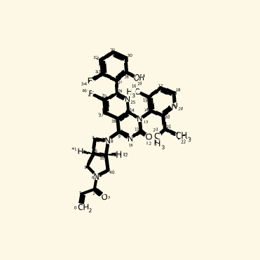 C=CC(=O)N1C[C@@H]2CN(c3nc(=O)n(-c4c(C)ccnc4C(C)C)c4nc(-c5c(O)cccc5F)c(F)cc34)[C@@H]2C1